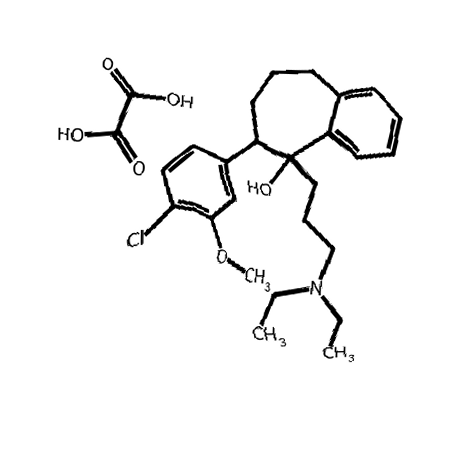 CCN(CC)CCCC1(O)c2ccccc2CCCC1c1ccc(Cl)c(OC)c1.O=C(O)C(=O)O